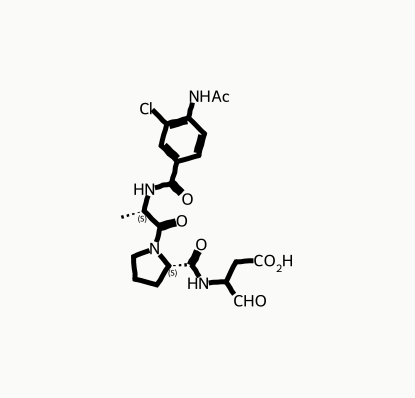 CC(=O)Nc1ccc(C(=O)N[C@@H](C)C(=O)N2CCC[C@H]2C(=O)NC(C=O)CC(=O)O)cc1Cl